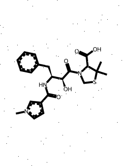 Cn1ccc(C(=O)N[C@@H](Cc2ccccc2)[C@H](O)C(=O)N2CSC(C)(C)C2C(=O)O)c1